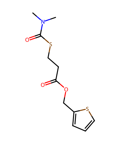 CN(C)C(=O)SCCC(=O)OCc1cccs1